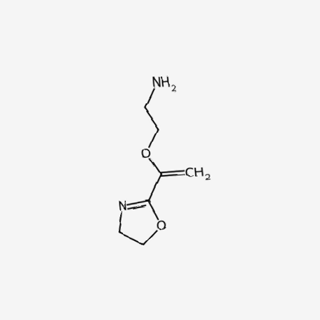 C=C(OCCN)C1=NCCO1